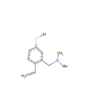 C=Cc1ccc(SCC)cc1CN(C)C(C)(C)C